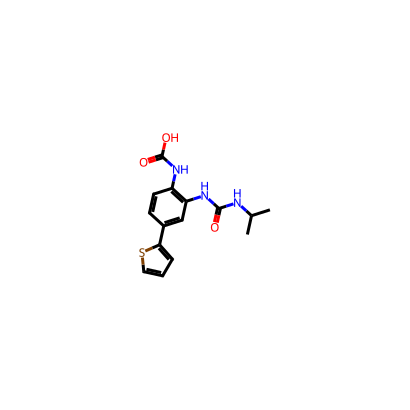 CC(C)NC(=O)Nc1cc(-c2cccs2)ccc1NC(=O)O